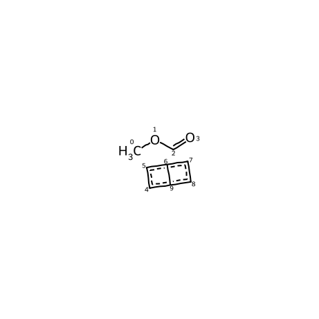 COC=O.c1cc2ccc1-2